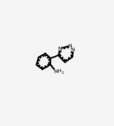 Nc1ccccc1-c1ccnnn1